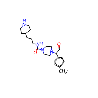 [CH2]c1ccc(C(C=O)N2CCN(C(=O)NCCCC3CCNCC3)CC2)cc1